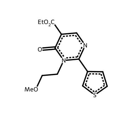 CCOC(=O)c1cnc(-c2ccsc2)n(CCOC)c1=O